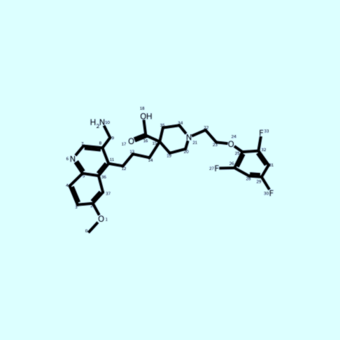 COc1ccc2ncc(CN)c(CCCC3(C(=O)O)CCN(CCOc4c(F)cc(F)cc4F)CC3)c2c1